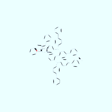 N#Cc1cccc(-c2ccc(-c3cc(-c4nc(-c5ccccc5)nc(-c5ccccc5)n4)ccc3-n3c4ccc(-c5ccccc5)cc4c4cc(-c5ccccc5)ccc43)c(-n3c4ccc(-c5ccccc5)cc4c4cc(-c5ccccc5)ccc43)c2)c1